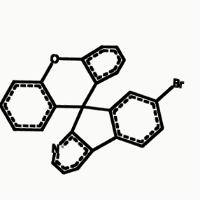 Brc1ccc2c(c1)C1(c3ccccc3Oc3ccccc31)c1ncccc1-2